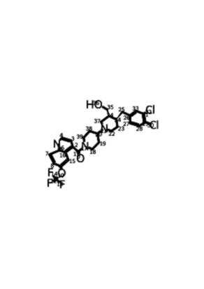 O=C(c1ccnc2ccc(OC(F)(F)F)cc12)N1CCC(N2CC[C@H](Cc3ccc(Cl)c(Cl)c3)[C@H](CO)C2)CC1